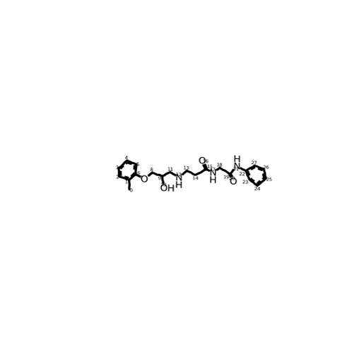 Cc1ccccc1OCC(O)CNCCC(=O)NCC(=O)Nc1ccccc1